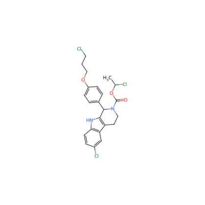 CC(Cl)OC(=O)N1CCc2c([nH]c3ccc(Cl)cc23)C1c1ccc(OCCCCl)cc1